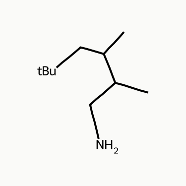 CC(CN)C(C)CC(C)(C)C